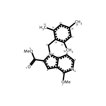 COC(=O)c1cc2c(OC)nccc2n1Cc1c(C)cc(C)cc1C